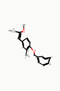 CCOC(=Cc1ccc(OCc2ccccc2)c([N+](=O)[O-])c1)C(=O)O